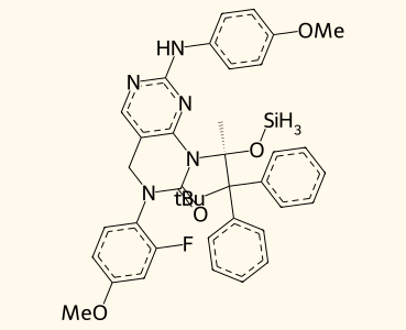 COc1ccc(Nc2ncc3c(n2)N([C@@](C)(O[SiH3])C(c2ccccc2)(c2ccccc2)C(C)(C)C)C(=O)N(c2ccc(OC)cc2F)C3)cc1